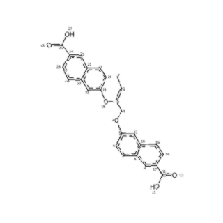 CC=C(COc1ccc2cc(C(=O)O)ccc2c1)Oc1ccc2cc(C(=O)O)ccc2c1